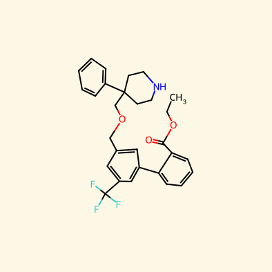 CCOC(=O)c1ccccc1-c1cc(COCC2(c3ccccc3)CCNCC2)cc(C(F)(F)F)c1